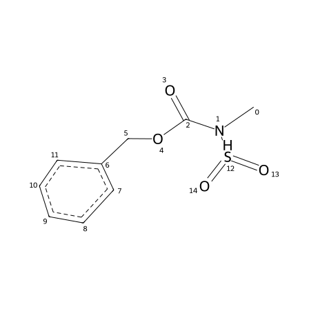 CN(C(=O)OCc1ccccc1)[SH](=O)=O